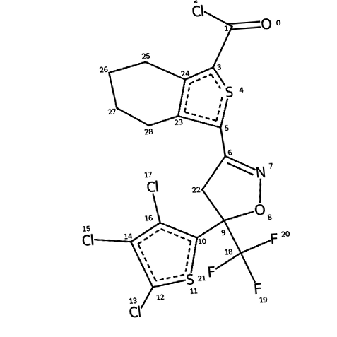 O=C(Cl)c1sc(C2=NOC(c3sc(Cl)c(Cl)c3Cl)(C(F)(F)F)C2)c2c1CCCC2